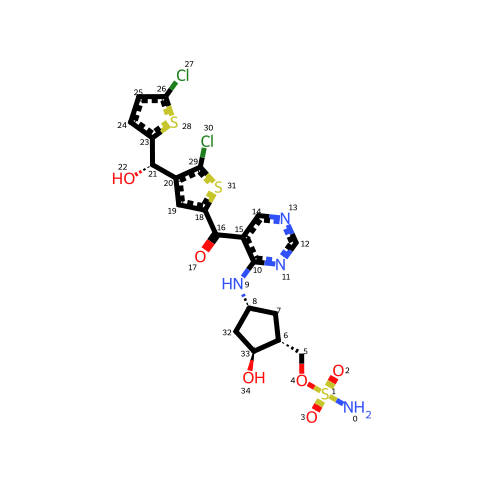 NS(=O)(=O)OC[C@H]1C[C@@H](Nc2ncncc2C(=O)c2cc([C@H](O)c3ccc(Cl)s3)c(Cl)s2)C[C@@H]1O